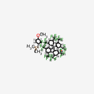 COc1ccc(C[S+](C)C)cc1.FC(F)(F)c1cc([B-](c2cc(C(F)(F)F)cc(C(F)(F)F)c2)(c2cc(C(F)(F)F)cc(C(F)(F)F)c2)c2cc(C(F)(F)F)cc(C(F)(F)F)c2)cc(C(F)(F)F)c1